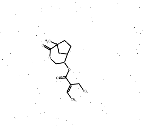 C/C=C(\CC(C)(C)C)C(=O)OC1COC(=O)C2(C)CCC1C2